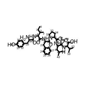 CCC(C)C(NC(=O)C(N)Cc1ccc(O)cc1)C(=O)NC(Cc1ccccc1)C(=O)N1CCCC1C(=O)NC(CC(C)C)C(=O)NC(C(=O)O)C(C)C